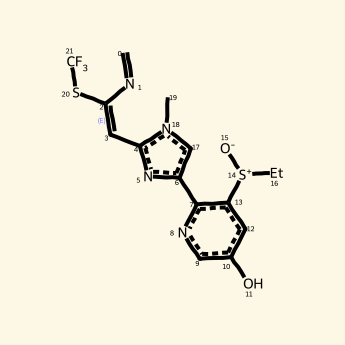 C=N/C(=C\c1nc(-c2ncc(O)cc2[S+]([O-])CC)cn1C)SC(F)(F)F